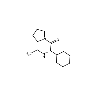 CCN[C@H](C(=O)N1CCCC1)C1CCCCC1